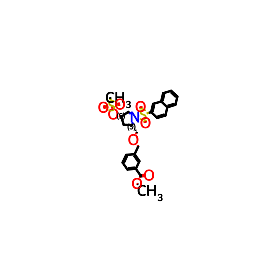 COC(=O)c1cccc(COC[C@@H]2C[C@H](OS(C)(=O)=O)CN2S(=O)(=O)c2ccc3ccccc3c2)c1